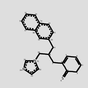 S=C1CC=CC=C1C[C](Cc1ccc2ccccc2c1)Cn1ccnc1